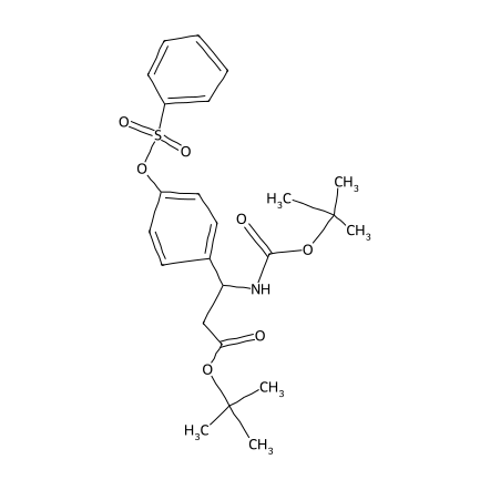 CC(C)(C)OC(=O)CC(NC(=O)OC(C)(C)C)c1ccc(OS(=O)(=O)c2ccccc2)cc1